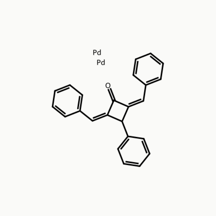 O=C1C(=Cc2ccccc2)C(c2ccccc2)C1=Cc1ccccc1.[Pd].[Pd]